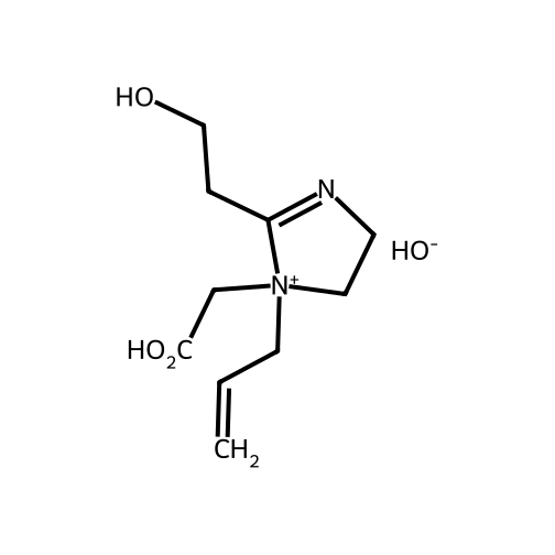 C=CC[N+]1(CC(=O)O)CCN=C1CCO.[OH-]